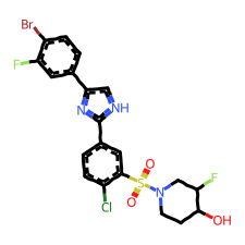 O=S(=O)(c1cc(-c2nc(-c3ccc(Br)c(F)c3)c[nH]2)ccc1Cl)N1CCC(O)C(F)C1